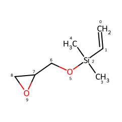 C=C[Si](C)(C)OCC1CO1